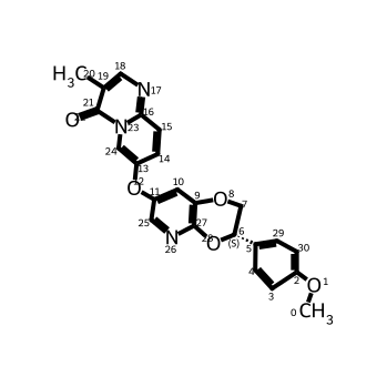 COc1ccc([C@H]2COc3cc(Oc4ccc5ncc(C)c(=O)n5c4)cnc3O2)cc1